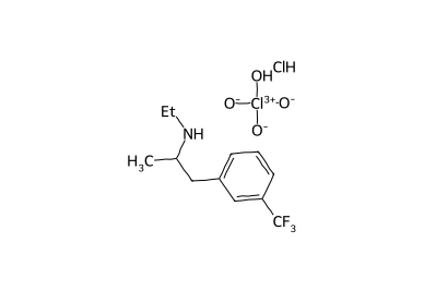 CCNC(C)Cc1cccc(C(F)(F)F)c1.Cl.[O-][Cl+3]([O-])([O-])O